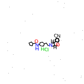 Cl.N#Cc1ccc2c(c1)[C@@H]1CN(CCC3CCC(NC(=O)C4CCCC4)CC3)C[C@H]1CO2